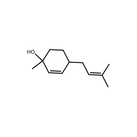 CC(C)=CCC1C=CC(C)(O)CC1